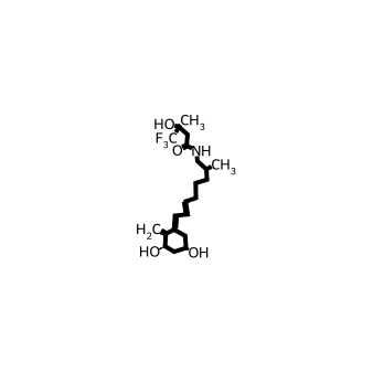 C=C1C(=CC=CCCCC(C)CNC(=O)CC(C)(O)C(F)(F)F)C[C@@H](O)C[C@@H]1O